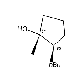 CCCC[C@@H]1CCC[C@@]1(C)O